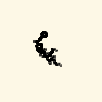 NN=NC1=C(Cl)N=C(C(=O)NC2NCC3(CCN(C(=O)C#Cc4ccccc4)CC3)N2)C(N=NN)N1